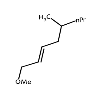 CCCC(C)CC=CCOC